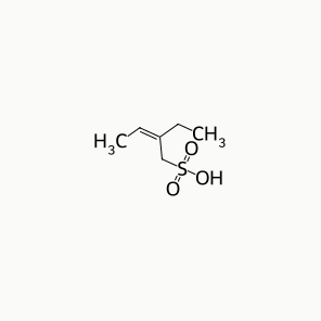 CC=C(CC)CS(=O)(=O)O